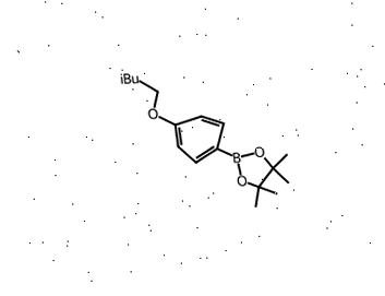 CCC(C)COc1ccc(B2OC(C)(C)C(C)(C)O2)cc1